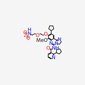 COc1c2c(cc(C3CCCC3)c1OCCOCCNS(C)(=O)=O)C1=NCCN1C(NC(=O)c1cccnc1C1CCCC1)=N2